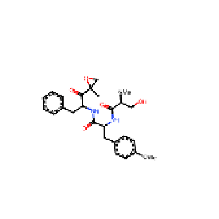 CNC(CO)C(=O)NC(Cc1ccc(OC)cc1)C(=O)NC(Cc1ccccc1)C(=O)C1(C)CO1